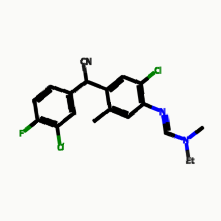 CCN(C)C=Nc1cc(C)c(C(C#N)c2ccc(F)c(Cl)c2)cc1Cl